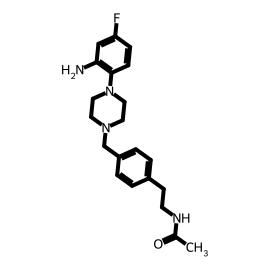 CC(=O)NCCc1ccc(CN2CCN(c3ccc(F)cc3N)CC2)cc1